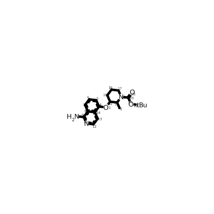 CC1C(Oc2cccc3c(N)nccc23)CCCN1C(=O)OC(C)(C)C